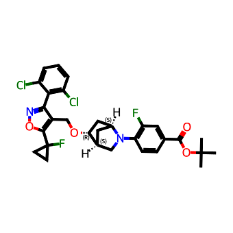 CC(C)(C)OC(=O)c1ccc(N2C[C@@H]3C[C@H]2C[C@H]3OCc2c(-c3c(Cl)cccc3Cl)noc2C2(F)CC2)c(F)c1